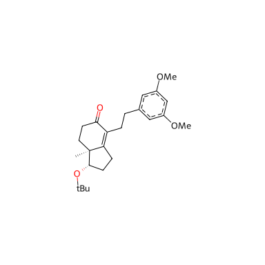 COc1cc(CCC2=C3CC[C@H](OC(C)(C)C)[C@@]3(C)CCC2=O)cc(OC)c1